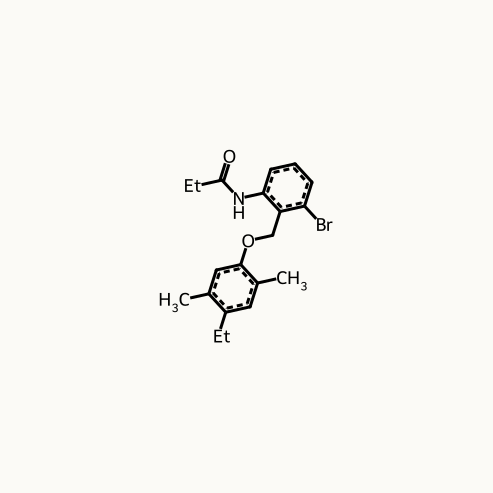 CCC(=O)Nc1cccc(Br)c1COc1cc(C)c(CC)cc1C